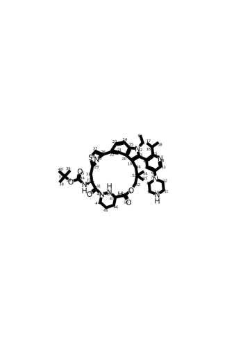 CCn1c(-c2cc(N3CCNCC3)cnc2C(C)C)c2c3cc(ccc31)-c1csc(n1)C[C@H](NC(=O)OC(C)(C)C)C(=O)N1CCC[C@H](N1)C(=O)OCC(C)(C)C2